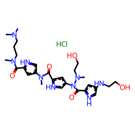 CN(C)CCCN(C)C(=O)c1cc(N(C)C(=O)c2cc(N(C(=O)c3cc(NCCO)c[nH]3)N(C)CCO)c[nH]2)c[nH]1.Cl